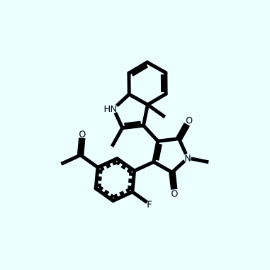 CC(=O)c1ccc(F)c(C2=C(C3=C(C)NC4C=CC=CC34C)C(=O)N(C)C2=O)c1